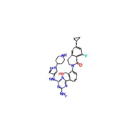 Nc1nc(Nc2cnn(C3CCNCC3)c2)nc(-c2cccc(N3CCc4cc(C5CC5)cc(F)c4C3=O)c2CO)n1